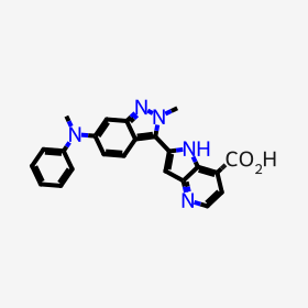 CN(c1ccccc1)c1ccc2c(-c3cc4nccc(C(=O)O)c4[nH]3)n(C)nc2c1